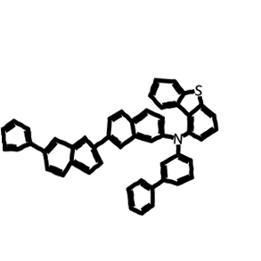 c1ccc(-c2cccc(N(c3ccc4ccc(-c5ccc6ccc(-c7ccccc7)cc6c5)cc4c3)c3cccc4sc5ccccc5c34)c2)cc1